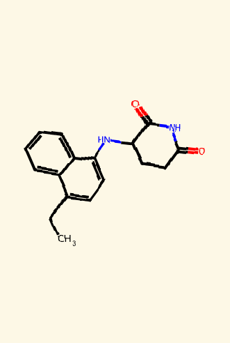 CCc1ccc(NC2CCC(=O)NC2=O)c2ccccc12